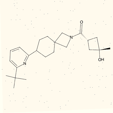 CC(C)(C)c1cccc(C2CCC3(CC2)CN(C(=O)[C@H]2C[C@@](C)(O)C2)C3)n1